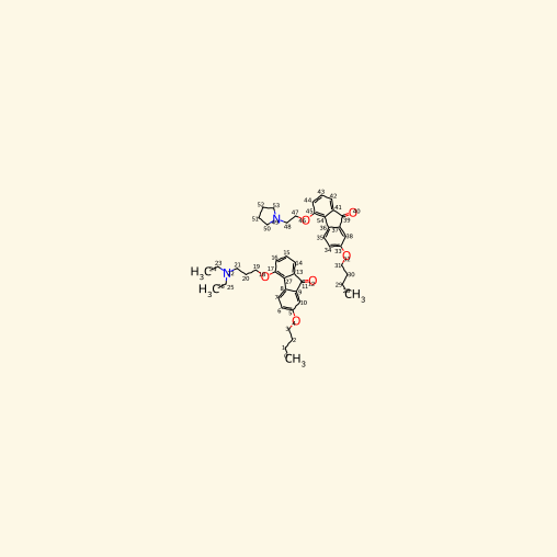 CCCCOc1ccc2c(c1)C(=O)c1cccc(OCCCN(CC)CC)c1-2.CCCCOc1ccc2c(c1)C(=O)c1cccc(OCCN3CCCC3)c1-2